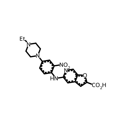 CCN1CCN(c2ccc(Nc3cc4cc(C(=O)O)oc4cn3)c([N+](=O)[O-])c2)CC1